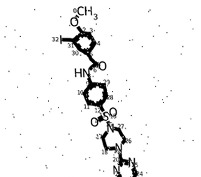 COc1ccc(C(=O)Nc2ccc(S(=O)(=O)N3CCN(c4ncccn4)CC3)cc2)cc1I